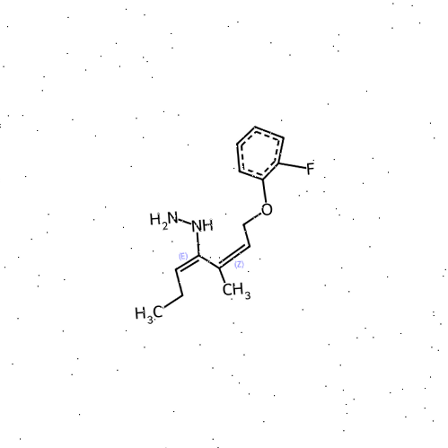 CC/C=C(NN)\C(C)=C/COc1ccccc1F